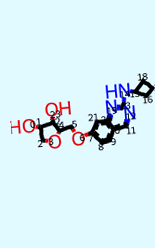 OC1COC(COc2ccc3cnc(NC4CCC4)nc3c2)C1O